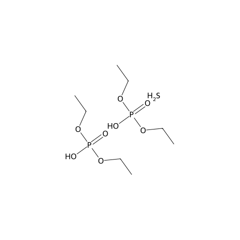 CCOP(=O)(O)OCC.CCOP(=O)(O)OCC.S